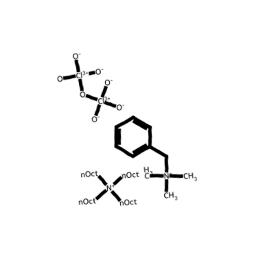 CCCCCCCC[N+](CCCCCCCC)(CCCCCCCC)CCCCCCCC.C[N+](C)(C)Cc1ccccc1.[O-][Cl+3]([O-])([O-])O[Cl+3]([O-])([O-])[O-]